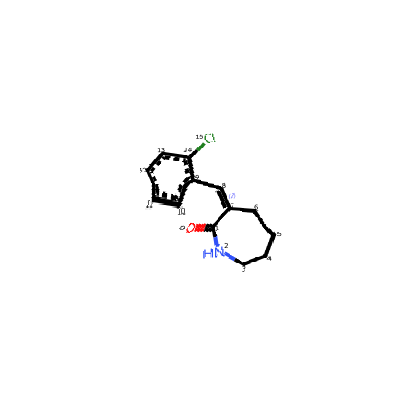 O=C1NCCCC/C1=C/c1ccccc1Cl